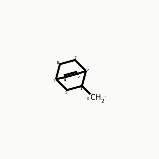 [CH2]C1CC2C=CC1CC2